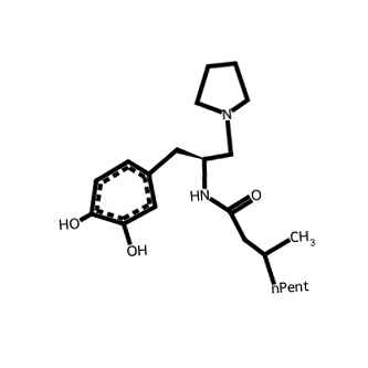 CCCCCC(C)CC(=O)N[C@@H](Cc1ccc(O)c(O)c1)CN1CCCC1